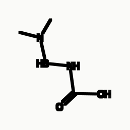 CN(C)BNC(=O)O